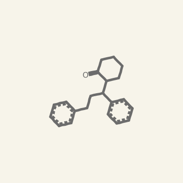 O=C1CCCCC1C(CCc1ccccc1)c1ccccc1